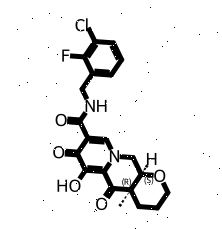 C[C@@]12CCCO[C@@H]1Cn1cc(C(=O)NCc3cccc(Cl)c3F)c(=O)c(O)c1C2=O